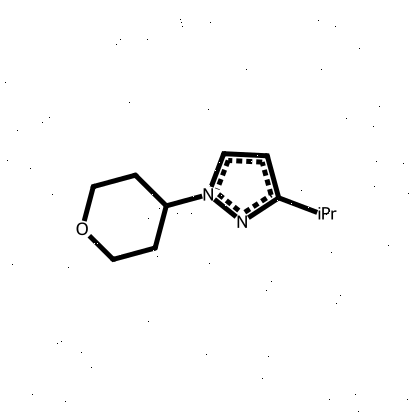 CC(C)c1ccn(C2CCOCC2)n1